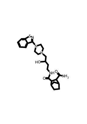 NC(=O)C1C2CCC(C2)C1C(=O)NCCC(O)CN1CCN(c2nsc3ccccc23)CC1